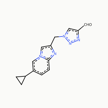 O=Cc1cn(Cc2cn3cc(C4CC4)ccc3n2)nn1